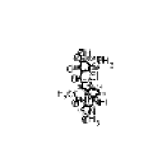 C=CC(=O)Nc1cn(C)nc1Nc1ccc2sc(C(=O)c3c(Cl)c(OC)cc(OC)c3Cl)cc2n1